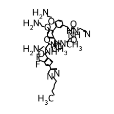 CCCCCCc1ncc(-c2ccc(C(=O)N[C@@H](CCN)C(=O)N(C)[C@@H]3C(=O)N[C@@H](C)C(=O)N[C@H](C(=O)NCC#N)Cc4ccc(OCCN)c(c4)-c4cc3ccc4OCCN)c(C(F)F)c2)cn1